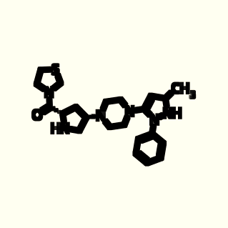 CC1C=C(N2CCN([C@@H]3CN[C@H](C(=O)N4CCSC4)C3)CC2)N(c2ccccc2)N1